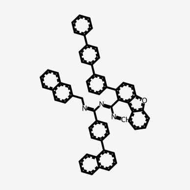 C=N/C(=N\C(=N/Cc1ccc2ccccc2c1)c1ccc(-c2cccc3ccccc23)cc1)c1c(-c2cccc(-c3ccc(-c4ccccc4)cc3)c2)ccc2oc3ccccc3c12